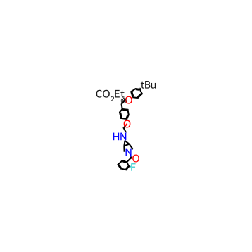 CCOC(=O)[C@H](Cc1ccc(OCCNC2C3CN(C(=O)c4ccccc4F)CC32)cc1)Oc1ccc(C(C)(C)C)cc1